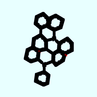 c1ccc(-c2cccc(-c3ccccc3N(c3ccccc3)c3ccccc3)c2N(c2ccccc2)c2ccccc2)cc1